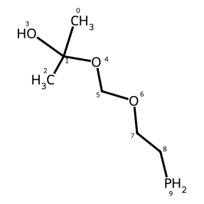 CC(C)(O)OCOCCP